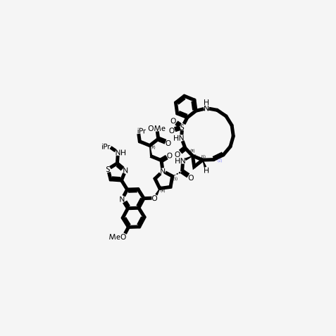 COC(=O)[C@@H](CC(=O)N1C[C@H](Oc2cc(-c3csc(NC(C)C)n3)nc3cc(OC)ccc23)C[C@H]1C(=O)N[C@]12C[C@H]1/C=C\CCCCCNc1ccccc1S(=O)(=O)NC2=O)CC(C)C